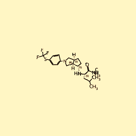 CNC(=O)[C@H](CC(C)C)N[C@H]1CC[C@@H]2CN(c3ccc(SC(F)(F)F)cc3)C[C@@H]21